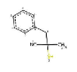 CC(S)(C#N)Cc1ccccc1